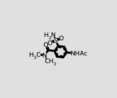 CC(=O)Nc1ccc(C(=O)N(C)C)c(S(N)(=O)=O)c1